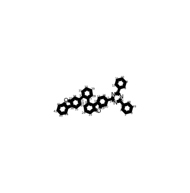 c1ccc(-c2nc(-c3ccccc3)nc(-c3ccc4c(c3)oc3cccc(-c5ccccc5-c5ccc6c(c5)oc5ccccc56)c34)n2)cc1